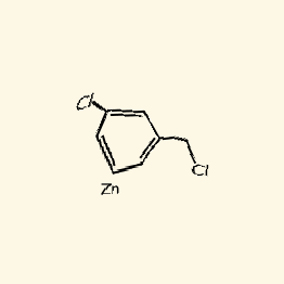 ClCc1cccc(Cl)c1.[Zn]